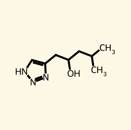 CC(C)CC(O)Cc1c[nH]nn1